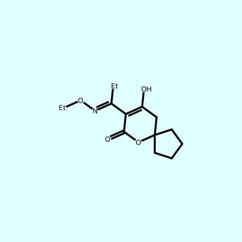 CCON=C(CC)C1=C(O)CC2(CCCC2)OC1=O